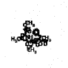 COCC(NC(=O)c1cc(OC)no1)C(=O)N[C@@H](COC)C(=O)NC(Cc1ccccc1)C(=O)[C@@]1(C)CO1